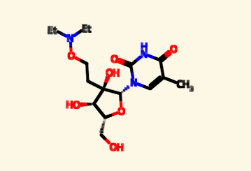 CCN(CC)OCC[C@@]1(O)[C@H](O)[C@@H](CO)O[C@H]1n1cc(C)c(=O)[nH]c1=O